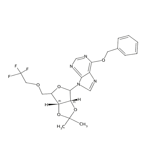 CC1(C)O[C@@H]2C(COCC(F)(F)F)OC(n3cnc4c(OCc5ccccc5)ncnc43)[C@@H]2O1